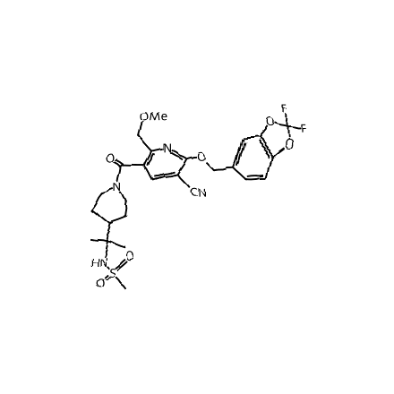 COCc1nc(OCc2ccc3c(c2)OC(F)(F)O3)c(C#N)cc1C(=O)N1CCC(C(C)(C)NS(C)(=O)=O)CC1